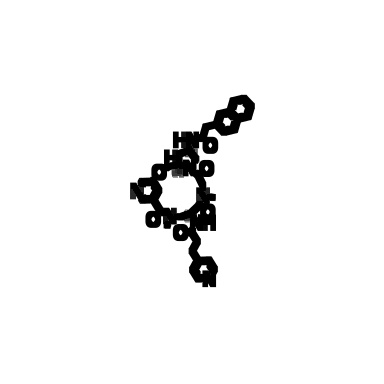 CN1C[C@H](NC(=O)CCc2ccncc2)C(=O)N(C)CC(=O)N2C[C@@H](NC(=O)Cc3ccc4ccccc4c3)C[C@H]2COc2cncc(c2)C1=O